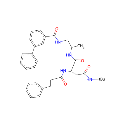 CC(CNC(=O)c1cccc(-c2ccccc2)c1)NC(=O)[C@H](CC(=O)NC(C)(C)C)NC(=O)CCc1ccccc1